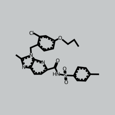 CCCOc1ccc(Cn2c(C)nc3ccc(C(=O)NS(=O)(=O)c4ccc(C)cc4)nc32)c(Cl)c1